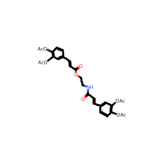 CC(=O)Oc1ccc(C=CC(=O)NCCOC(=O)C=Cc2ccc(OC(C)=O)c(OC(C)=O)c2)cc1OC(C)=O